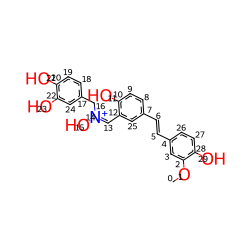 COc1cc(/C=C/c2ccc(O)c(/C=[N+](/O)Cc3ccc(O)c(O)c3)c2)ccc1O